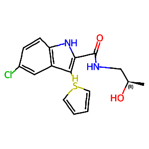 C[C@@H](O)CNC(=O)c1[nH]c2ccc(Cl)cc2c1[SH]1C=CC=C1